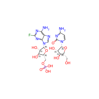 Nc1ccn([C@@H]2O[C@H](CO)[C@@H](O)[C@@H]2O)c(=O)n1.Nc1nc(F)nc2c1ncn2[C@@H]1O[C@H](COP(=O)(O)O)[C@@H](O)[C@@H]1O